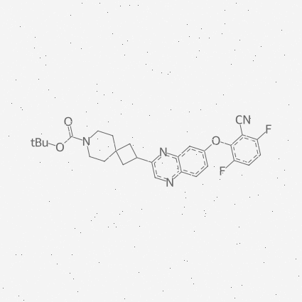 CC(C)(C)OC(=O)N1CCC2(CC1)CC(c1cnc3ccc(Oc4c(F)ccc(F)c4C#N)cc3n1)C2